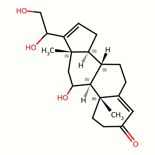 C[C@]12CCC(=O)C=C1CC[C@@H]1[C@@H]2C(O)C[C@]2(C)C(C(O)CO)=CC[C@@H]12